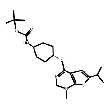 CC(C)c1cc2c(s1)N(C)CN=C2O[C@H]1CC[C@H](NC(=O)OC(C)(C)C)CC1